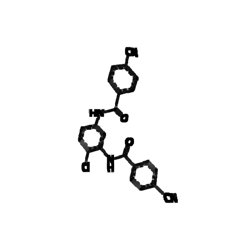 N#Cc1ccc(C(=O)Nc2ccc(Cl)c(NC(=O)c3ccc(C#N)cc3)c2)cc1